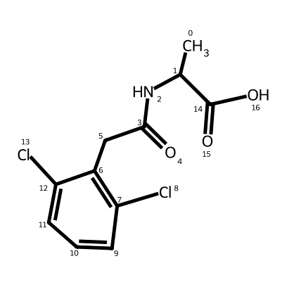 CC(NC(=O)Cc1c(Cl)cccc1Cl)C(=O)O